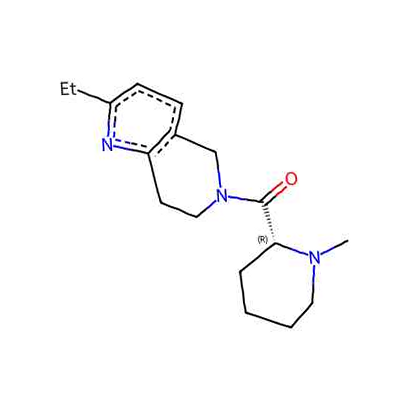 CCc1ccc2c(n1)CCN(C(=O)[C@H]1CCCCN1C)C2